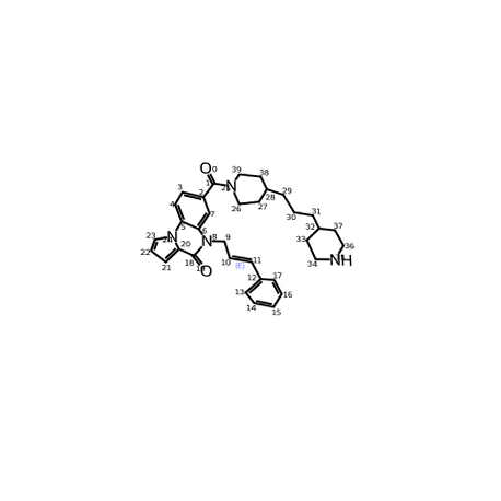 O=C(c1ccc2c(c1)n(C/C=C/c1ccccc1)c(=O)c1cccn12)N1CCC(CCCC2CCNCC2)CC1